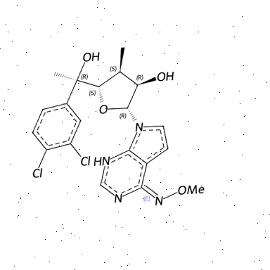 CO/N=c1/nc[nH]c2c1ccn2[C@@H]1O[C@H]([C@](C)(O)c2ccc(Cl)c(Cl)c2)[C@@H](C)[C@H]1O